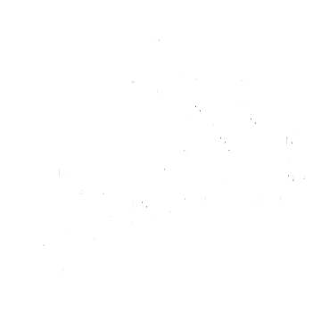 COC(=O)c1cc(O)cc(C(=O)NCc2ccc(-n3c(-c4cccnc4N)nc4ccc(-c5ccccc5)nc43)cc2)c1